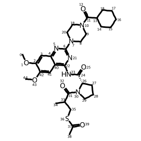 COc1cc2nc(N3CCN(C(=O)C4CCCCC4)CC3)nc(NC(=O)[C@@H]3CCCN3C(=O)C(C)CSC(C)=O)c2cc1OC